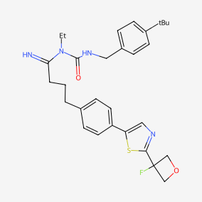 CCN(C(=N)CCCc1ccc(-c2cnc(C3(F)COC3)s2)cc1)C(=O)NCc1ccc(C(C)(C)C)cc1